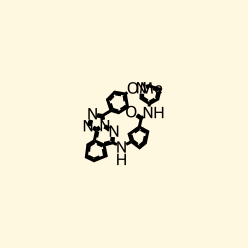 COc1ccc(-c2nnc3c4ccccc4c(Nc4cccc(C(=O)Nc5cccnc5)c4)nn23)cc1